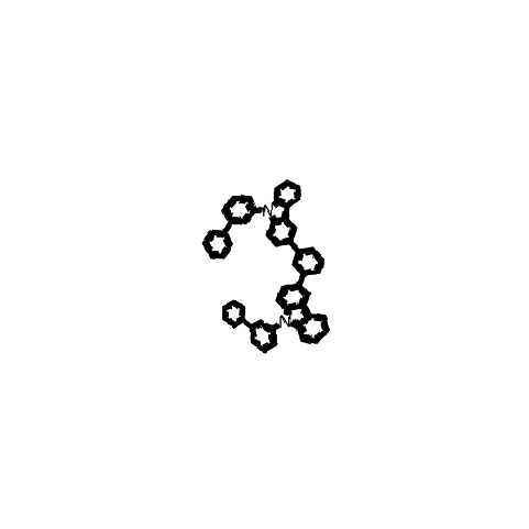 c1ccc(-c2cccc(-n3c4ccccc4c4cc(-c5cccc(-c6ccc7c(c6)c6ccccc6n7-c6cccc(-c7ccccc7)c6)c5)ccc43)c2)cc1